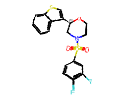 O=S(=O)(c1ccc(F)c(F)c1)N1CCO[C@H](c2csc3ccccc23)C1